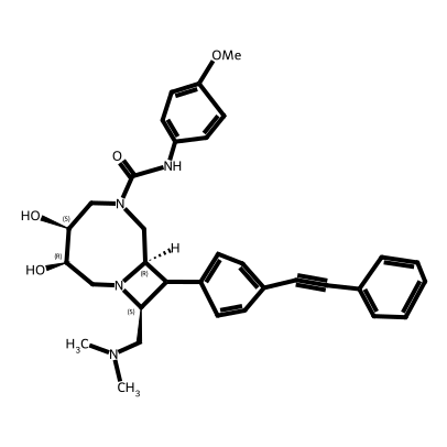 COc1ccc(NC(=O)N2C[C@H](O)[C@H](O)CN3[C@H](CN(C)C)C(c4ccc(C#Cc5ccccc5)cc4)[C@@H]3C2)cc1